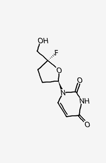 O=c1ccn([C@H]2CC[C@@](F)(CO)O2)c(=O)[nH]1